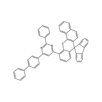 c1ccc(-c2ccc(-c3cc(-c4cccc5c4Sc4c(ccc6ccccc46)C54c5ccccc5-c5ccccc54)nc(-c4ccccc4)n3)cc2)cc1